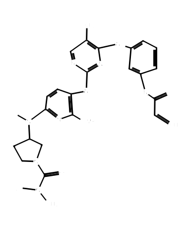 C=CC(=O)Nc1cccc(Nc2nc(Nc3ccc(N(C)C4CCN(C(=O)N(C)C)C4)nc3OC)ncc2C(F)(F)F)c1